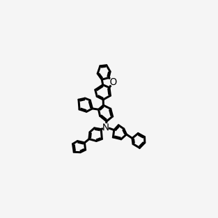 c1ccc(-c2ccc(N(c3ccc(-c4ccccc4)cc3)c3ccc(-c4ccc5c(c4)oc4ccccc45)c(-c4ccccc4)c3)cc2)cc1